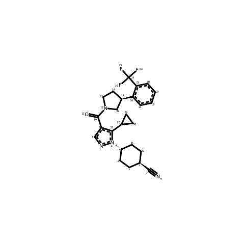 N#C[C@H]1CC[C@H](n2ncc(C(=O)N3CC[C@@H](c4ccccc4C(F)(F)F)C3)c2C2CC2)CC1